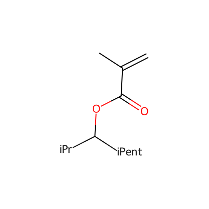 C=C(C)C(=O)OC(C(C)C)C(C)CCC